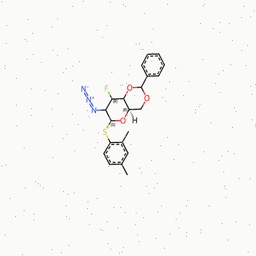 Cc1ccc(S[C@@H]2O[C@@H]3COC(c4ccccc4)OC3[C@H](F)C2N=[N+]=[N-])c(C)c1